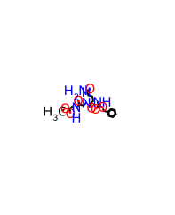 COC(=O)CNC(=O)CNC(=O)C(CCC(N)=O)NC(=O)OCc1ccccc1